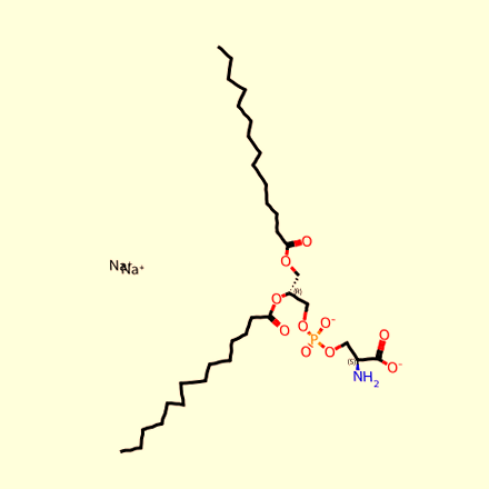 CCCCCCCCCCCCCC(=O)OC[C@H](COP(=O)([O-])OC[C@H](N)C(=O)[O-])OC(=O)CCCCCCCCCCCCC.[Na+].[Na+]